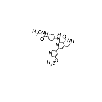 CNC(=O)c1ccc(Nc2nc(-c3cncc(OC)c3)cc3cc[nH]c(=O)c23)cc1